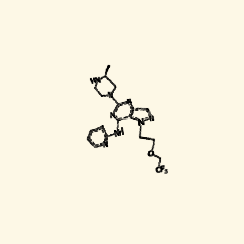 C[C@H]1CN(c2nc(Nc3ccccn3)c3c(cnn3CCOCC(F)(F)F)n2)CCN1